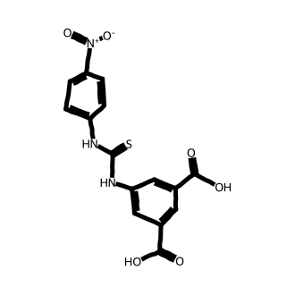 O=C(O)c1cc(NC(=S)Nc2ccc([N+](=O)[O-])cc2)cc(C(=O)O)c1